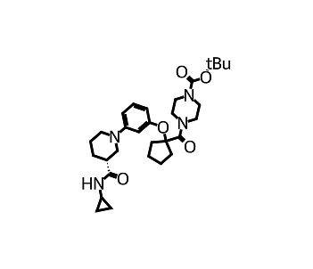 CC(C)(C)OC(=O)N1CCN(C(=O)C2(Oc3cccc(N4CCC[C@@H](C(=O)NC5CC5)C4)c3)CCCC2)CC1